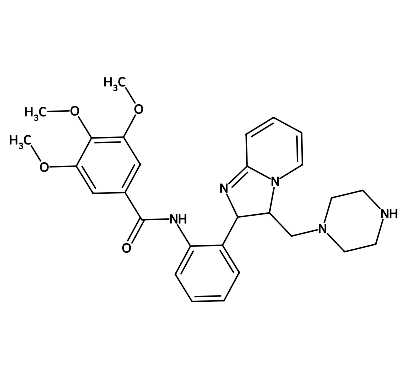 COc1cc(C(=O)Nc2ccccc2C2N=C3C=CC=CN3C2CN2CCNCC2)cc(OC)c1OC